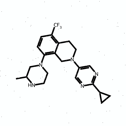 CC1CN(c2ccc(C(F)(F)F)c3c2CN(c2cnc(C4CC4)nc2)CC3)CCN1